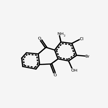 Nc1c(Cl)c(Br)c(O)c2c1C(=O)c1ccccc1C2=O